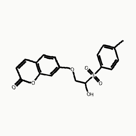 Cc1ccc(S(=O)(=O)C(O)COc2ccc3ccc(=O)oc3c2)cc1